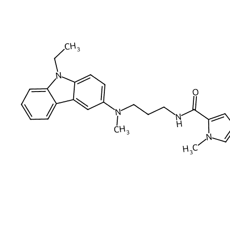 CCn1c2ccccc2c2cc(N(C)CCCNC(=O)c3cncn3C)ccc21